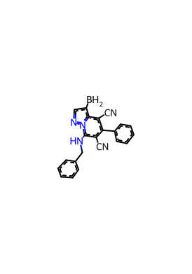 Bc1cnn2c(NCc3ccccc3)c(C#N)c(-c3ccccc3)c(C#N)c12